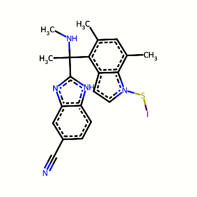 CNC(C)(c1nc2cc(C#N)ccc2[nH]1)c1c(C)cc(C)c2c1ccn2SI